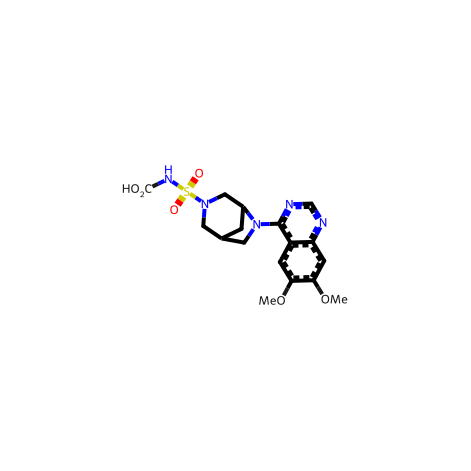 COc1cc2ncnc(N3CC4CC3CN(S(=O)(=O)NC(=O)O)C4)c2cc1OC